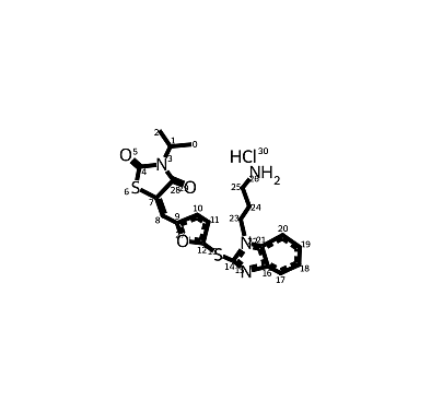 CC(C)N1C(=O)SC(=Cc2ccc(Sc3nc4ccccc4n3CCCN)o2)C1=O.Cl